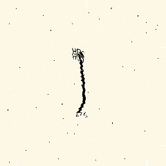 CCCCCCCCC=CCCCCCCCCCCCCOP(=O)(O)O